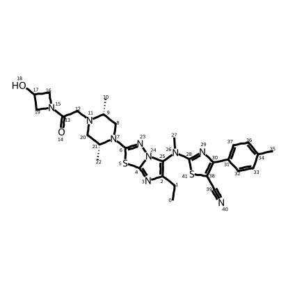 CCc1nc2sc(N3C[C@@H](C)N(CC(=O)N4CC(O)C4)C[C@H]3C)nn2c1N(C)c1nc(-c2ccc(C)cc2)c(C#N)s1